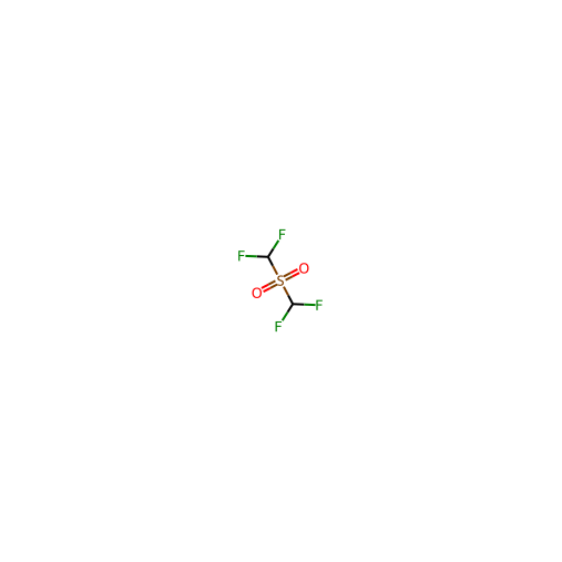 O=S(=O)(C(F)F)C(F)F